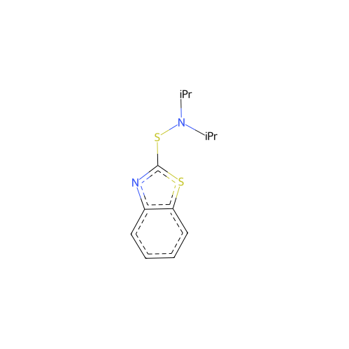 CC(C)N(Sc1nc2ccccc2s1)C(C)C